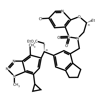 CCOC(=O)C[C@H](c1cc2c(c(CN3C[C@@H](CC)Oc4ncc(Cl)cc4S3(=O)=O)c1)CCC2)c1cc(C2CC2)c2c(nnn2C)c1C